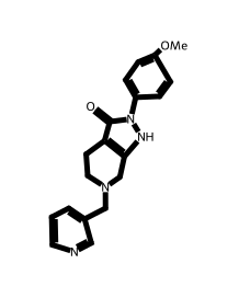 COc1ccc(-n2[nH]c3c(c2=O)CCN(Cc2cccnc2)C3)cc1